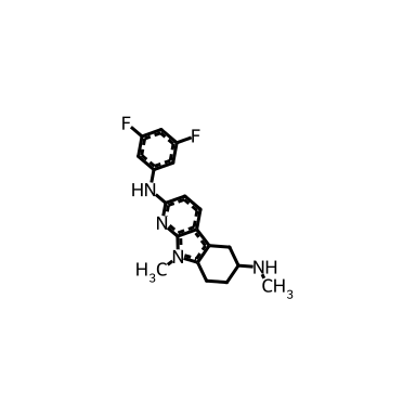 CNC1CCc2c(c3ccc(Nc4cc(F)cc(F)c4)nc3n2C)C1